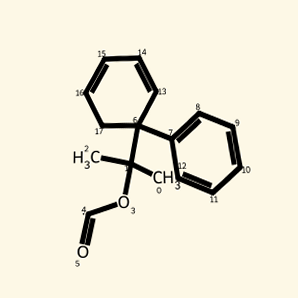 CC(C)(O[C]=O)C1(c2ccccc2)C=CC=CC1